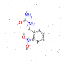 NC(=O)NCc1ccccc1[N+](=O)[O-]